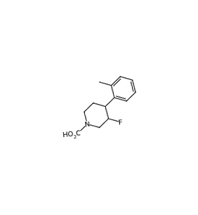 Cc1ccccc1C1CCN(C(=O)O)CC1F